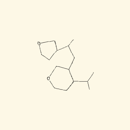 CC(C)C1CCOCC1CC(C)C1CCOC1